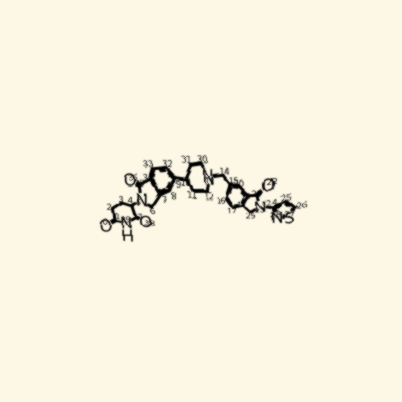 O=C1CCC(N2Cc3cc(C4CCN(Cc5ccc6c(c5)C(=O)N(c5ccsn5)C6)CC4)ccc3C2=O)C(=O)N1